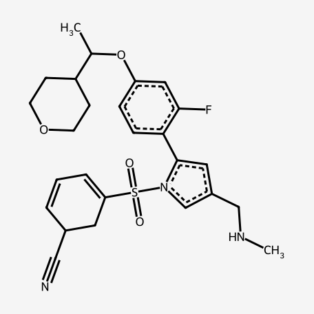 CNCc1cc(-c2ccc(OC(C)C3CCOCC3)cc2F)n(S(=O)(=O)C2=CC=CC(C#N)C2)c1